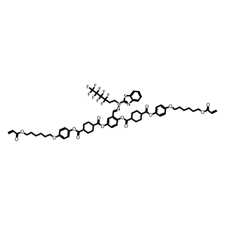 C=CC(=O)OCCCCCCOc1ccc(OC(=O)C2CCC(C(=O)Oc3ccc(OC(=O)C4CCC(C(=O)Oc5ccc(OCCCCCCOC(=O)C=C)cc5)CC4)c(/C=N/N(CCC(F)(F)C(F)(F)C(F)(F)C(F)(F)F)c4nc5ccccc5s4)c3)CC2)cc1